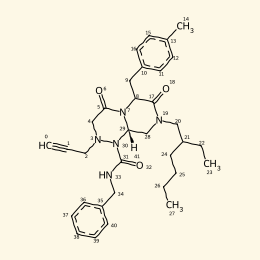 C#CCN1CC(=O)N2C(Cc3ccc(C)cc3)C(=O)N(CC(CC)CCCC)C[C@@H]2N1C(=O)NCc1ccccc1